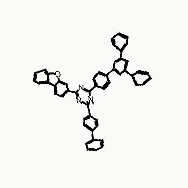 c1ccc(-c2ccc(-c3nc(-c4ccc(-c5cc(-c6ccccc6)cc(-c6ccccc6)c5)cc4)nc(-c4ccc5c(c4)oc4ccccc45)n3)cc2)cc1